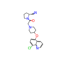 N#C[C@@H]1CCCN1C(=O)CN1CCC(Oc2ccc(Cl)c3ncccc23)CC1